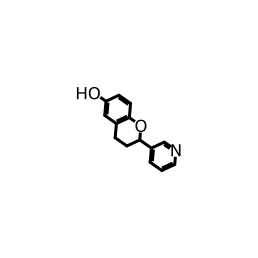 Oc1ccc2c(c1)CCC(c1cccnc1)O2